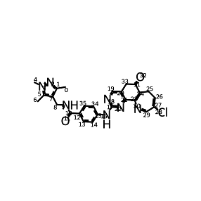 Cc1nn(C)c(C)c1CNC(=O)c1ccc(Nc2ncc3c(n2)C2=C(CC=C(Cl)C=N2)C(=O)C3)cc1